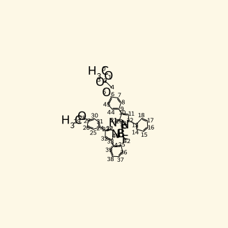 COC(=O)COc1ccc(C2=CC(c3ccccc3)=NC2=Nc2c(-c3ccc(OC)cc3)cc(-c3ccccc3)n2B(F)F)cc1